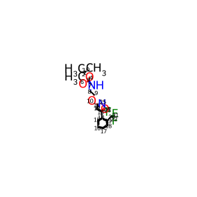 CC(C)(C)OC(=O)NCCOc1cc(-c2ccccc2C(F)(F)F)on1